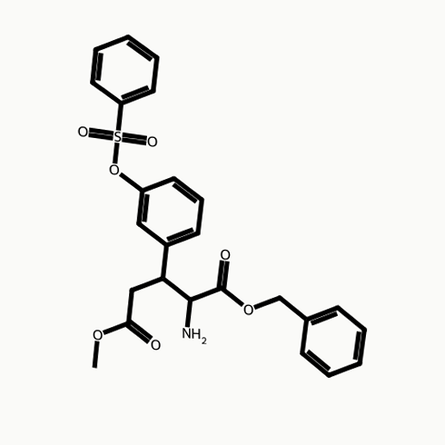 COC(=O)CC(c1cccc(OS(=O)(=O)c2ccccc2)c1)C(N)C(=O)OCc1ccccc1